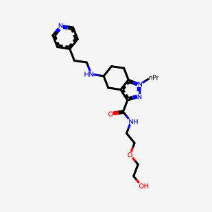 CCCn1nc(C(=O)NCCOCCO)c2c1CCC(NCCc1ccncc1)C2